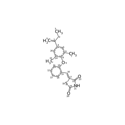 C=C(CC)c1cc(C)c(Oc2ccccc2/C=C2\SC(=O)NC2=O)c(C)c1